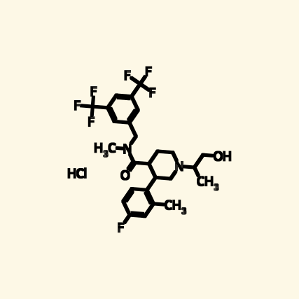 Cc1cc(F)ccc1C1CN(C(C)CO)CCC1C(=O)N(C)Cc1cc(C(F)(F)F)cc(C(F)(F)F)c1.Cl